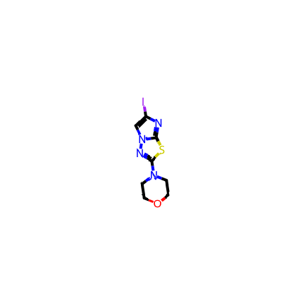 Ic1cn2nc(N3CCOCC3)sc2n1